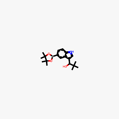 CC(C)(C)C(O)c1c[nH]c2ccc(B3OC(C)(C)C(C)(C)O3)cc12